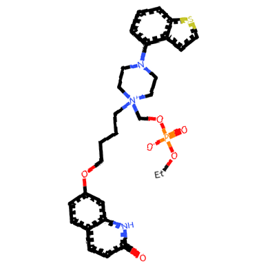 CCOP(=O)([O-])OC[N+]1(CCCCOc2ccc3ccc(=O)[nH]c3c2)CCN(c2cccc3sccc23)CC1